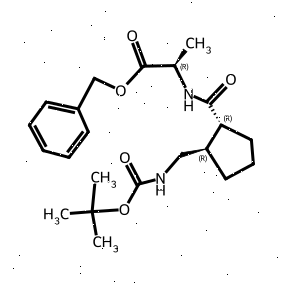 C[C@@H](NC(=O)[C@@H]1CCC[C@H]1CNC(=O)OC(C)(C)C)C(=O)OCc1ccccc1